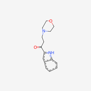 O=C(CCN1CCOCC1)c1cc2ccccc2[nH]1